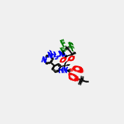 CC(C)(C)OC(=O)NC(C)(COC(C)(C(N)=O)C(F)(F)F)c1cccc(-c2cncnc2)c1